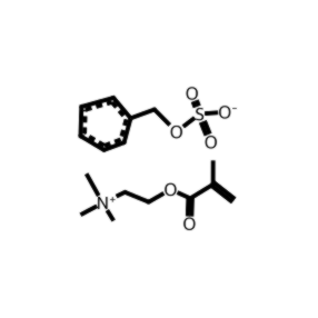 C=C(C)C(=O)OCC[N+](C)(C)C.O=S(=O)([O-])OCc1ccccc1